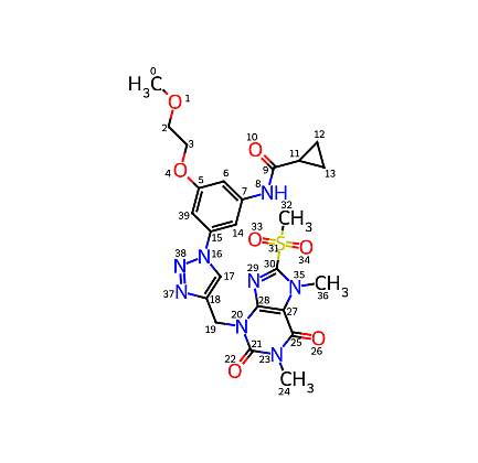 COCCOc1cc(NC(=O)C2CC2)cc(-n2cc(Cn3c(=O)n(C)c(=O)c4c3nc(S(C)(=O)=O)n4C)nn2)c1